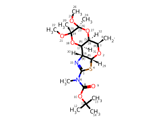 [CH2][C@H]1O[C@@H]2SC(N(C)C(=O)OC(C)(C)C)=N[C@@H]2[C@H]2O[C@](C)(OC)[C@@](C)(OC)O[C@H]21